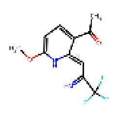 COC1=CC=C(C(C)=O)/C(=C/C(=N)C(F)(F)F)N1